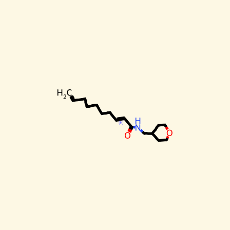 C=CCCCCC/C=C/C(=O)NCC1CCOCC1